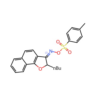 CCCCC1Oc2c(ccc3ccccc23)/C1=N/OS(=O)(=O)c1ccc(C)cc1